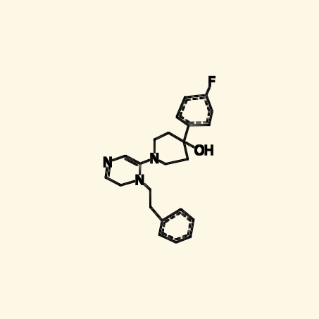 OC1(c2ccc(F)cc2)CCN(C2=CN=CCN2CCc2ccccc2)CC1